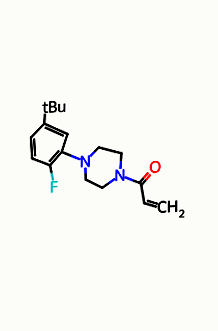 C=CC(=O)N1CCN(c2cc(C(C)(C)C)ccc2F)CC1